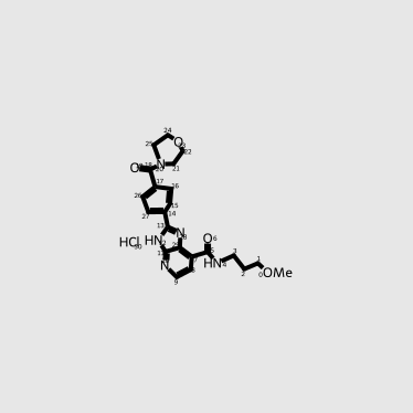 COCCCNC(=O)c1ccnc2[nH]c(-c3ccc(C(=O)N4CCOCC4)cc3)nc12.Cl